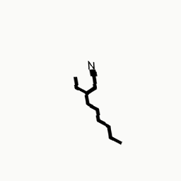 CCCCCCC(CC)CC#N